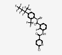 O=C(Nc1cccc(C(=O)N(Br)c2ccc(C(F)(C(F)(F)F)C(F)(F)C(F)(F)F)cc2C(F)(F)F)c1F)c1ccc(Cl)nc1